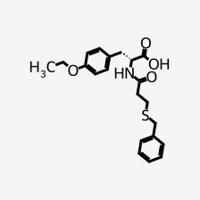 CCOc1ccc(C[C@@H](NC(=O)CCSCc2ccccc2)C(=O)O)cc1